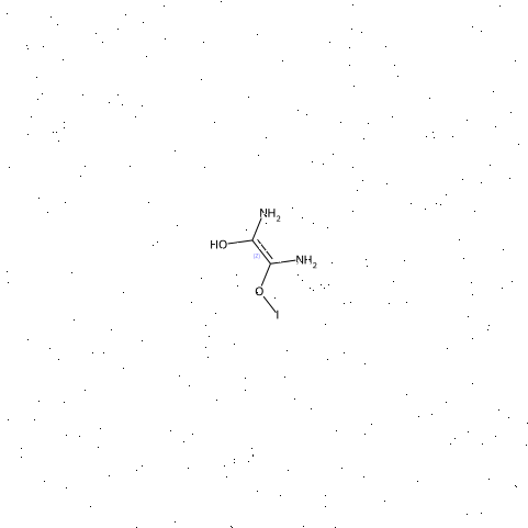 N/C(O)=C(\N)OI